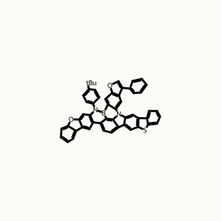 CC(C)(C)c1ccc(N2B3c4cc5occ(-c6ccccc6)c5cc4-n4c5cc6c(cc5c5ccc(c3c54)-c3cc4c(cc32)oc2ccccc24)sc2ccccc26)cc1